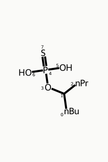 CCCCC(CCC)OP(O)(O)=S